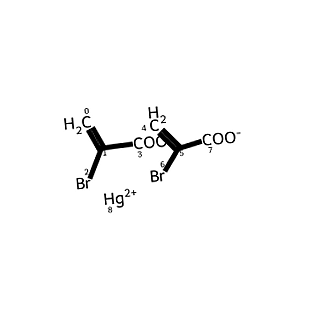 C=C(Br)C(=O)[O-].C=C(Br)C(=O)[O-].[Hg+2]